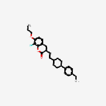 CCCOc1ccc2c(c1F)OC(=O)C(CCC1CCC(c3ccc(CC)cc3)CC1)C2